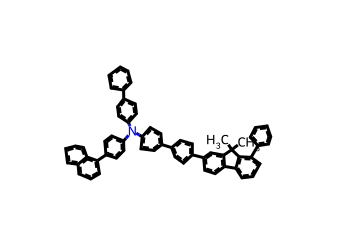 CC1(C)c2cc(-c3ccc(-c4ccc(N(c5ccc(-c6ccccc6)cc5)c5ccc(-c6cccc7ccccc67)cc5)cc4)cc3)ccc2-c2cccc(-c3ccccc3)c21